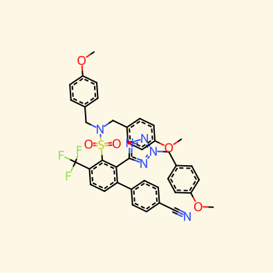 COc1ccc(CN(Cc2ccc(OC)cc2)S(=O)(=O)c2c(C(F)(F)F)ccc(-c3ccc(C#N)cc3)c2-c2nnn(Cc3ccc(OC)cc3)n2)cc1